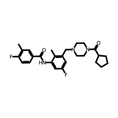 Cc1cc(C(=O)Nc2cc(F)cc(CN3CCN(C(=O)C4CCCC4)CC3)c2C)ccc1F